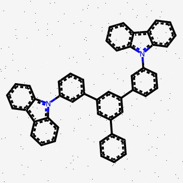 c1ccc(-c2cc(-c3cccc(-n4c5ccccc5c5ccccc54)c3)cc(-c3cccc(-n4c5ccccc5c5ccccc54)c3)c2)cc1